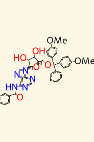 COc1ccc(C(OC[C@H]2O[C@@H](n3cnc4c(NC(=O)c5ccccc5)ncnc43)C(O)C2O)(c2ccccc2)c2ccc(OC)cc2)cc1